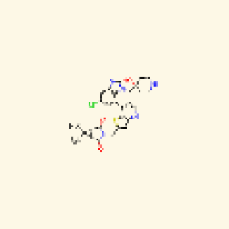 CC1(C)C2C(=O)N(Cc3cc4nccc(-c5cc(Cl)cc6ncn(CC7(O)CCNCC7)c56)c4s3)C(=O)C21